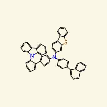 c1ccc(-n2c3ccccc3c3ccccc32)c(-c2ccc(N(c3ccc(-c4cccc5ccccc45)cc3)c3ccc4c(c3)sc3ccccc34)cc2)c1